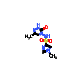 CC1=NNC(=O)N(NS(=O)(=O)c2cn(C)cn2)C1